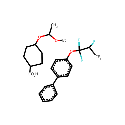 CCOC(C)OC1CCC(C(=O)O)CC1.FC(C(F)(F)F)C(F)(F)Oc1ccc(-c2ccccc2)cc1